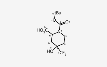 CC(C)(C)OC(=O)N1CCC(O)(C(F)(F)F)CC1C(=O)O